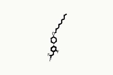 CCCCCCCCCO[C@H]1CC[C@H](c2ccc(C=C(F)F)c(F)c2)CC1